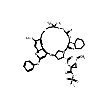 C=C[C@@H]1C[C@]1(NC(=O)[C@@H]1C[C@@H]2CN1C(=O)[C@H](C1CCCCC1)NC(=O)OCC(C)(C)CCCc1cc3c(cc(Oc4ccccc4)nc3cc1OC)O2)C(=O)NS(C)(=O)=O